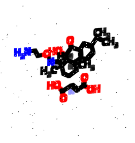 CC(C)c1ccc2c(c1)C(=O)[C@H](O)[C@H]1[C@](C)(/C=N/OCCN)CCC[C@]21C.O=C(O)/C=C/C(=O)O